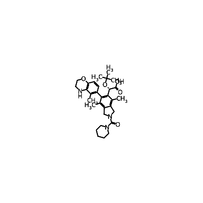 Cc1c(-c2c(C)c3c(c(C)c2[C@H](OC(C)(C)C)C(=O)O)CN(C(=O)N2CCCCC2)C3)ccc2c1NCCO2